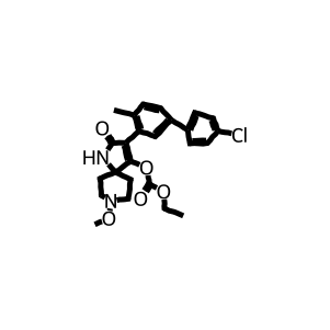 CCOC(=O)OC1=C(c2cc(-c3ccc(Cl)cc3)ccc2C)C(=O)NC12CCN(OC)CC2